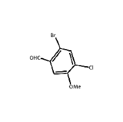 COc1cc(C=O)c(Br)cc1Cl